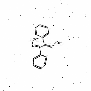 CCCCCCCCN=C(C(=NCCCCCCCC)c1ccccc1)c1ccccc1